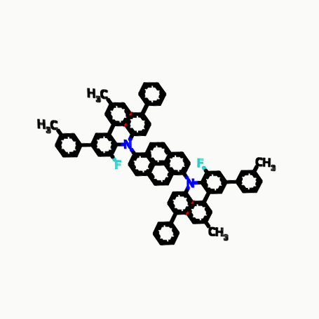 Cc1cccc(-c2cc(F)c(N(c3ccc(-c4ccccc4)cc3)c3ccc4ccc5c(N(c6ccc(-c7ccccc7)cc6)c6c(F)cc(-c7cccc(C)c7)cc6-c6cccc(C)c6)ccc6ccc3c4c65)c(-c3cccc(C)c3)c2)c1